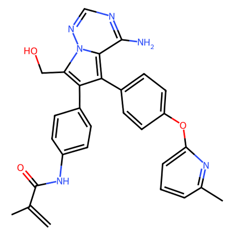 C=C(C)C(=O)Nc1ccc(-c2c(-c3ccc(Oc4cccc(C)n4)cc3)c3c(N)ncnn3c2CO)cc1